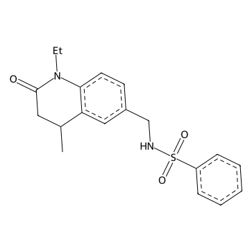 CCN1C(=O)CC(C)c2cc(CNS(=O)(=O)c3ccccc3)ccc21